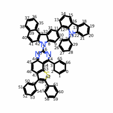 C1=CCC(c2nc(-n3c4ccc(-c5cccc6c7ccccc7n(-c7ccccc7)c56)cc4c4c5ccccc5ccc43)nc3ccc4c(-c5ccccc5)c(-c5ccccc5)sc4c23)C=C1